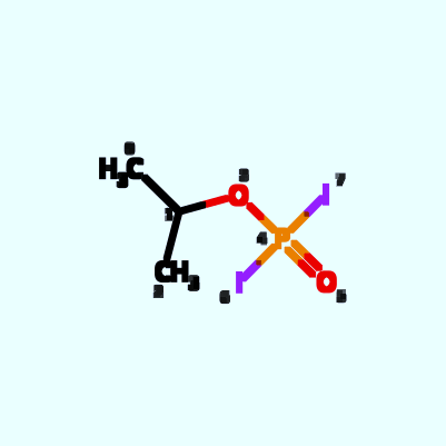 CC(C)OP(=O)(I)I